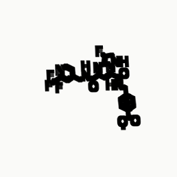 COC(=O)C12CCC(CNC(=O)C3=CC(C(=O)NCc4ccnc(C(F)(F)F)c4)=NC4=C(F)CNN34)(CC1)CC2